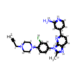 C#CCN1CCN(c2ccc(-n3c(C)nc4ccc(-c5ccnc(N)c5)nc43)cc2F)CC1